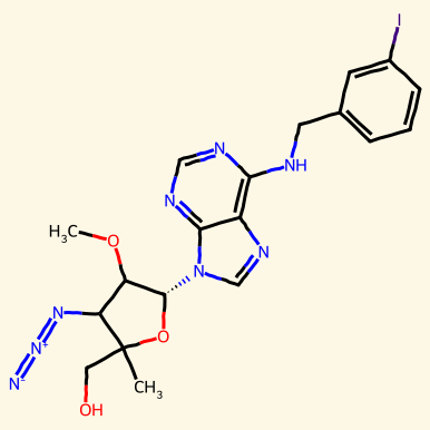 COC1C(N=[N+]=[N-])C(C)(CO)O[C@H]1n1cnc2c(NCc3cccc(I)c3)ncnc21